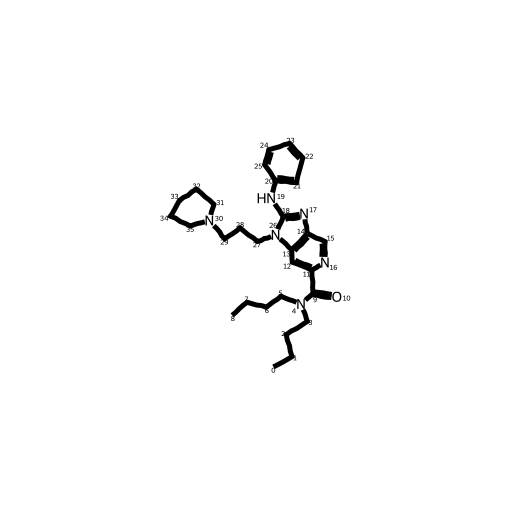 CCCCN(CCCC)C(=O)c1cc2c(cn1)nc(Nc1ccccc1)n2CCCN1CCCCC1